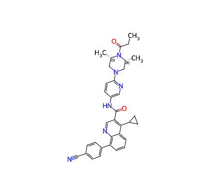 CCC(=O)N1[C@H](C)CN(c2ccc(NC(=O)c3cnc4c(-c5ccc(C#N)cc5)cccc4c3C3CC3)cn2)C[C@@H]1C